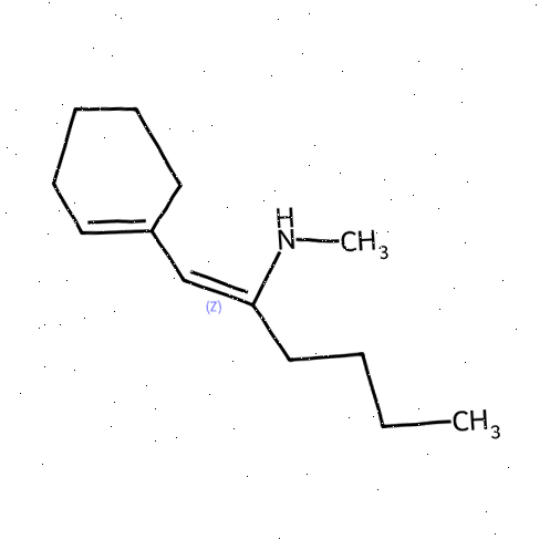 CCCC/C(=C/C1=CCCCC1)NC